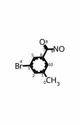 Cc1cc(Br)cc(C(=O)N=O)c1